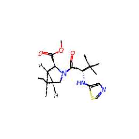 COC(=O)[C@@H]1[C@@H]2[C@H](CN1C(=O)[C@@H](Nc1cncs1)C(C)(C)C)C2(C)C